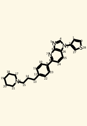 c1cc(-n2cnc3nc(-c4ccc(CCCN5CCCCC5)cc4)ccc32)cs1